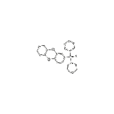 S=P(c1ccccc1)(c1ccccc1)c1ccc2c(c1)Oc1ccccc1O2